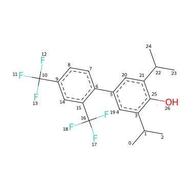 CC(C)c1cc(-c2ccc(C(F)(F)F)cc2C(F)(F)F)cc(C(C)C)c1O